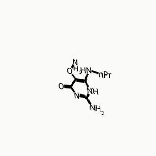 CCCNc1[nH]c(N)nc(=O)c1ON